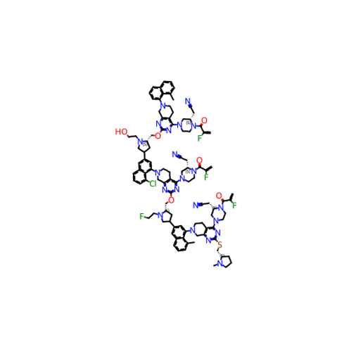 C=C(F)C(=O)N1CCN(c2nc(OC[C@@H]3CC(c4cc(N5CCc6c(nc(OC[C@@H]7CC(c8cc(N9CCc%10c(nc(SC[C@@H]%11CCCN%11C)nc%10N%10CCN(C(=O)C(=C)F)[C@@H](CC#N)C%10)C9)c9c(C)cccc9c8)CN7CCF)nc6N6CCN(C(=O)C(=C)F)[C@@H](CC#N)C6)C5)c5c(Cl)cccc5c4)CN3CCO)nc3c2CCN(c2cccc4cccc(C)c24)C3)C[C@@H]1CC#N